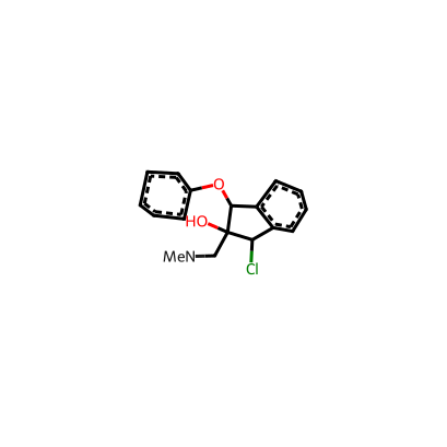 CNCC1(O)C(Cl)c2ccccc2C1Oc1ccccc1